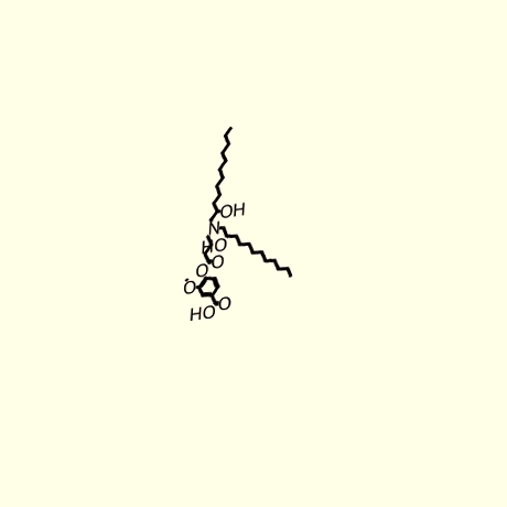 CCCCCCCCCCC(O)CN(CCCC(=O)Oc1ccc(C(=O)O)cc1OC)CC(O)CCCCCCCCCC